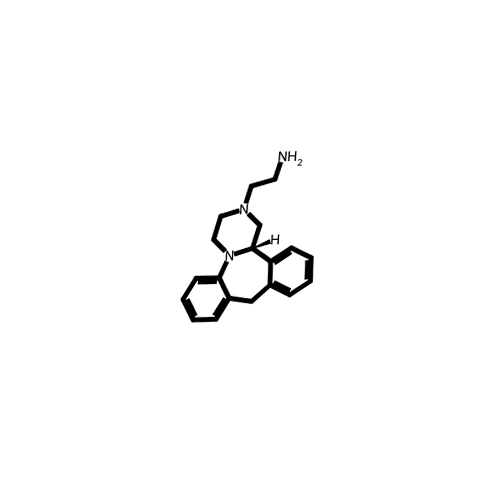 NCCN1CCN2c3ccccc3Cc3ccccc3[C@H]2C1